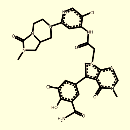 CN1CC2CN(c3cc(NC(=O)Cn4cc(-c5cc(Cl)c(O)c(C(N)=O)c5)c5c(=O)n(C)cnc54)c(Cl)cn3)CCN2C1=O